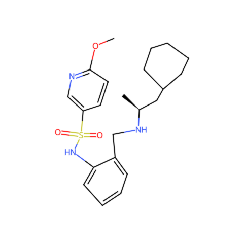 COc1ccc(S(=O)(=O)Nc2ccccc2CN[C@@H](C)CC2CCCCC2)cn1